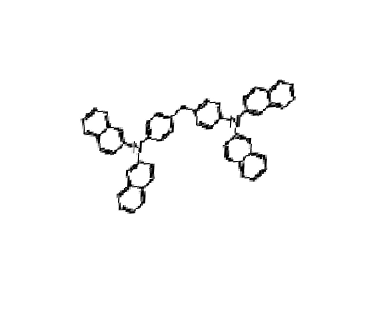 c1ccc2cc(N(c3ccc(Cc4ccc(N(c5ccc6ccccc6c5)c5ccc6ccccc6c5)cc4)cc3)c3ccc4ccccc4c3)ccc2c1